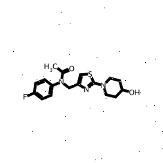 CC(=O)N(Cc1csc(N2CCC(O)CC2)n1)c1ccc(F)cc1